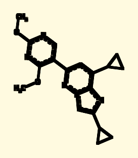 COc1ncc(-c2cc(C3CC3)c3nc(C4CC4)cn3n2)c(OC)n1